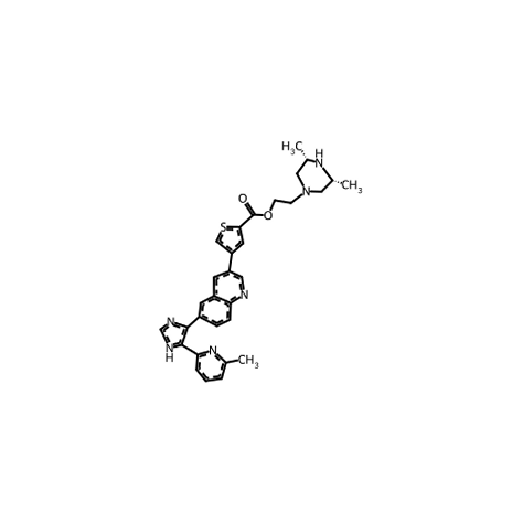 Cc1cccc(-c2[nH]cnc2-c2ccc3ncc(-c4csc(C(=O)OCCN5C[C@@H](C)N[C@@H](C)C5)c4)cc3c2)n1